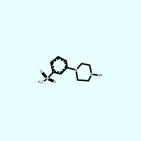 CCCN1CCN(c2cccc(S(C)(=O)=O)c2)CC1